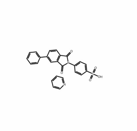 O=C1c2ccc(-c3ccccc3)cc2C(=O)N1c1ccc(S(=O)(=O)O)cc1.c1ccncc1